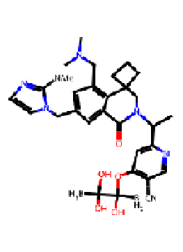 BC(O)(O)C(B)(O)Oc1cc(C(C)N2CC3(CCC3)c3c(CN(C)C)cc(Cn4ccnc4NC)cc3C2=O)ncc1C#N